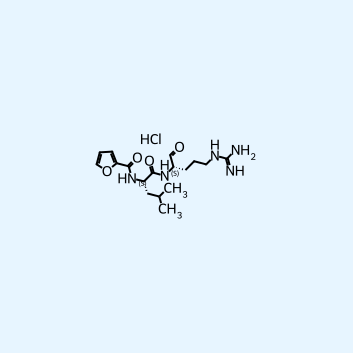 CC(C)C[C@H](NC(=O)c1ccco1)C(=O)N[C@H](C=O)CCCNC(=N)N.Cl